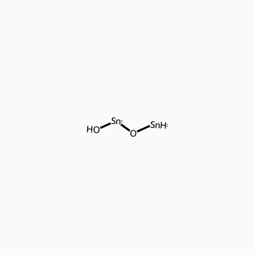 [OH][Sn][O][SnH]